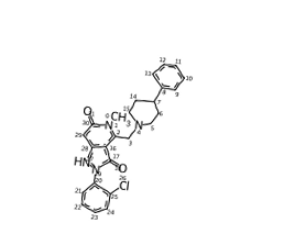 Cn1c(CN2CCC(c3ccccc3)CC2)c2c(=O)n(-c3ccccc3Cl)[nH]c2cc1=O